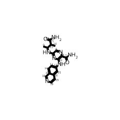 CC(Nc1cnc(C(N)=O)c(Nc2ccc3cnccc3c2)n1)C(C)C(N)=O